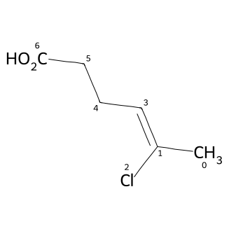 CC(Cl)=CCCC(=O)O